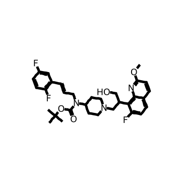 COc1ccc2ccc(F)c(C(CO)CN3CCC(N(CC=Cc4cc(F)ccc4F)C(=O)OC(C)(C)C)CC3)c2n1